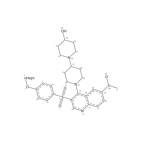 CCCCCCCOc1ccc(S(=O)(=O)c2cnc3ccc([S+](C)[O-])cc3c2N2CCC(N3CCC(O)CC3)CC2)cc1